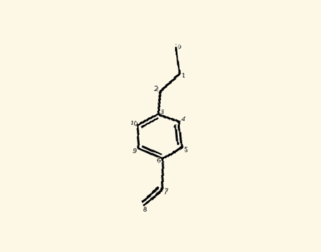 [CH2]CCc1ccc(C=C)cc1